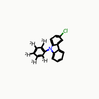 [2H]c1c([2H])c([2H])c(-n2c3ccccc3c3cc(Cl)ccc32)c([2H])c1[2H]